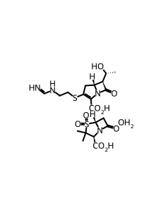 CC1(C)[C@H](C(=O)O)N2C(=O)C[C@H]2S1(=O)=O.C[C@@H](O)[C@H]1C(=O)N2C(C(=O)O)=C(SCCNC=N)C[C@H]12.O